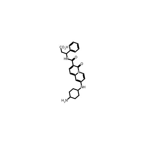 NC1CCC(Nc2ccn3c(=O)c(C(=O)NC(CC(=O)O)c4ccccc4)ccc3c2)CC1